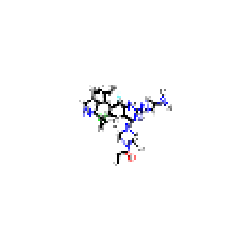 C=CC(=O)N1C[C@H](C)N(c2nc(N3CC(N(C)C)C3)nc3c(F)c(-c4c(C)ccc5c4C(C4CC4)N=C5)c(Cl)cc23)C[C@H]1C